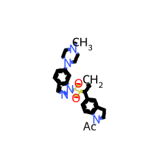 C=CC(c1ccc2c(c1)CCN2C(C)=O)S(=O)(=O)n1ncc2ccc(N3CCN(C)CC3)cc21